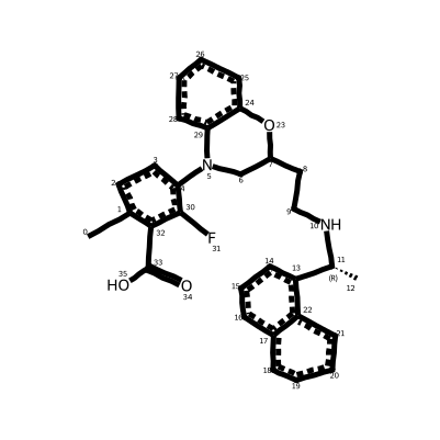 Cc1ccc(N2CC(CCN[C@H](C)c3cccc4ccccc34)Oc3ccccc32)c(F)c1C(=O)O